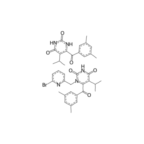 Cc1cc(C)cc(C(=O)c2[nH]c(=O)[nH]c(=O)c2C(C)C)c1.Cc1cc(C)cc(C(=O)c2c(C(C)C)c(=O)[nH]c(=O)n2Cc2cccc(Br)n2)c1